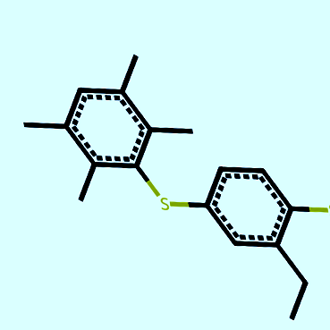 CCc1cc(Sc2c(C)c(C)cc(C)c2C)ccc1S